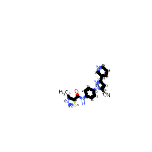 Cc1nnsc1C(=O)Nc1ccc(-n2nc(-c3cccnc3)cc2C#N)cc1